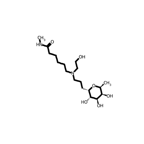 CNC(=O)CCCCCN(CCO)CCC[C@@H]1O[C@@H](C)[C@@H](O)[C@@H](O)[C@@H]1O